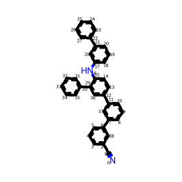 N#Cc1cccc(-c2cccc(-c3ccc(Nc4cccc(-c5ccccc5)c4)c(-c4ccccc4)c3)c2)c1